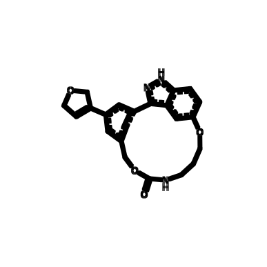 O=C1NCCCOc2ccc3[nH]nc(c3c2)-c2cc(cc(C3=CCOC3)c2)CO1